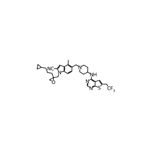 Cc1c(CN2CCC(Nc3ncnc4sc(CC(F)(F)F)cc34)CC2)ccc2c1cc(C#N)n2CC1(CCCC2CC2)CO1